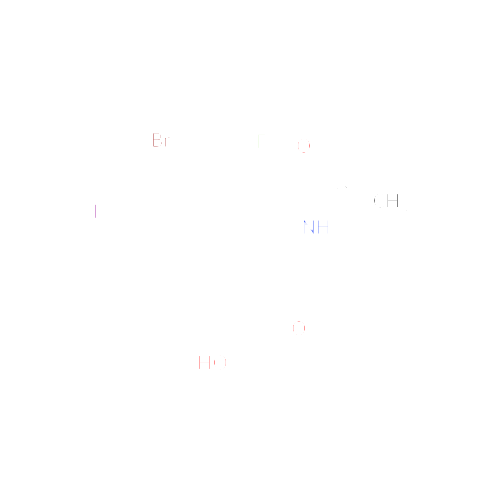 CC(=O)Nc1c(C(=O)O)cc(I)c(Br)c1F